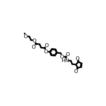 COCCOC(=O)CCC(=O)Oc1ccc(COC(=O)NCCC2C(=O)C=CC2=O)cc1